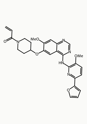 C=CC(=O)N1CCC(Oc2cc3c(Nc4nc(-c5ccco5)ccc4OC)ncnc3cc2OC)CC1